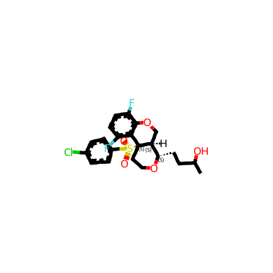 CC(O)CC[C@@H]1OCC[C@@]2(S(=O)(=O)c3ccc(Cl)cc3)c3c(F)ccc(F)c3OC[C@@H]12